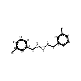 Cc1cccc(CSOSCc2cccc(C)c2)c1